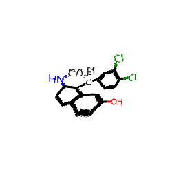 CCOC(=O)NC1CCc2ccc(O)cc2C1Cc1ccc(Cl)c(Cl)c1